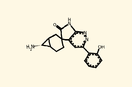 N[C@H]1C2CCC3(CC21)C(=O)Nc1nnc(-c2ccccc2O)cc13